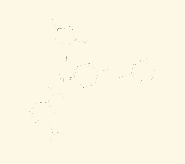 O=C1C=C(c2cn(S(=O)(=O)c3cccc([N+](=O)[O-])c3)c3ccc(OCc4ccccc4)cc23)C(=O)N1